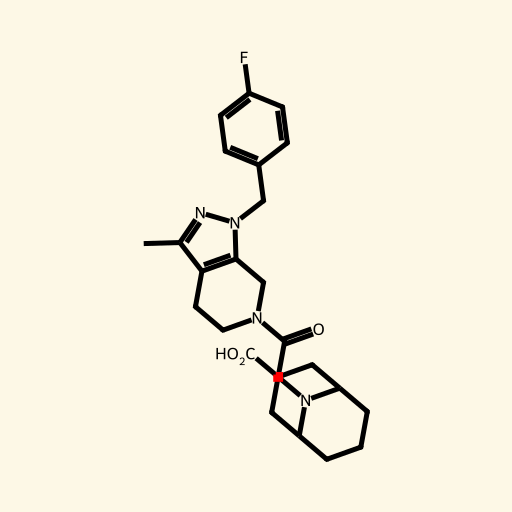 Cc1nn(Cc2ccc(F)cc2)c2c1CCN(C(=O)CN1C3CCCC1CC(C(=O)O)C3)C2